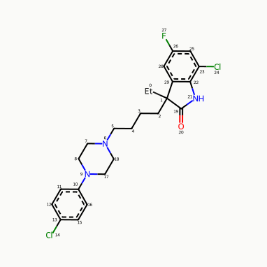 CCC1(CCCCN2CCN(c3ccc(Cl)cc3)CC2)C(=O)Nc2c(Cl)cc(F)cc21